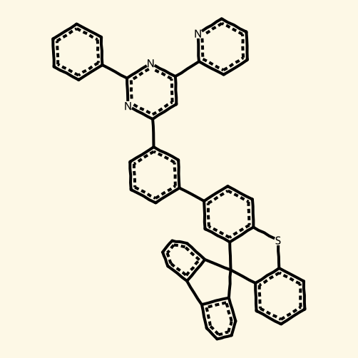 c1ccc(-c2nc(-c3cccc(-c4ccc5c(c4)C4(c6ccccc6S5)c5ccccc5-c5ccccc54)c3)cc(-c3ccccn3)n2)cc1